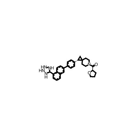 O=C([C@H]1CCCO1)N1CCC2(CC1)C[C@H]2c1ccc(-c2ccc3c(C4NNNN4)cccc3c2)cc1